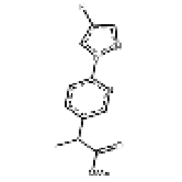 COC(=O)C(C)c1ccc(-n2cc(F)cn2)nc1